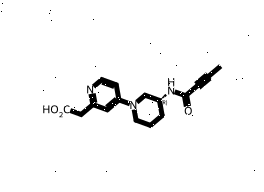 CC#CC(=O)N[C@@H]1CCCN(c2ccnc(CC(=O)O)c2)C1